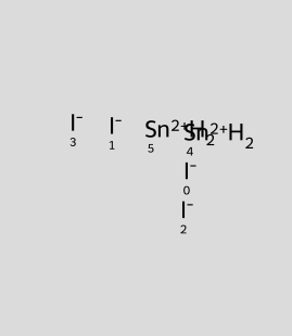 [I-].[I-].[I-].[I-].[SnH2+2].[SnH2+2]